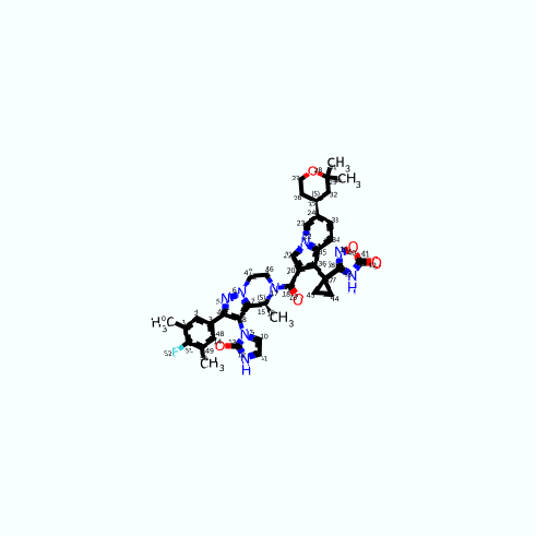 Cc1cc(-c2nn3c(c2-n2cc[nH]c2=O)[C@H](C)N(C(=O)c2cn4cc([C@H]5CCOC(C)(C)C5)ccc4c2C2(c4noc(=O)[nH]4)CC2)CC3)cc(C)c1F